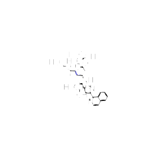 CCOC(=O)/C=C/[C@H](CC(=O)OC(C)(C)C)NC(=O)[C@]1(C(C)C)CC(c2nccc3ccccc23)=NO1